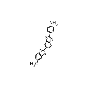 Cc1ccc2nc(-c3ccc4nc(-c5ccc(N)cc5)sc4c3)sc2c1